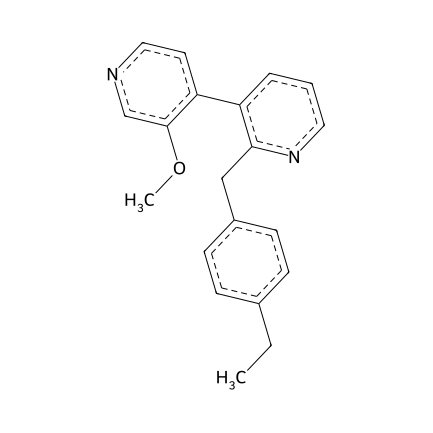 CCc1ccc(Cc2ncccc2-c2ccncc2OC)cc1